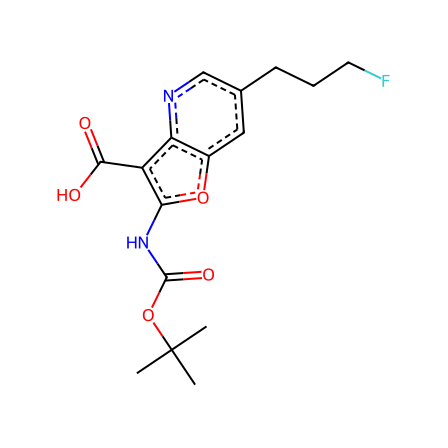 CC(C)(C)OC(=O)Nc1oc2cc(CCCF)cnc2c1C(=O)O